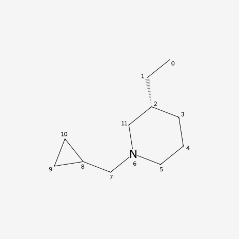 CC[C@@H]1CCCN(CC2CC2)C1